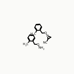 Cc1ccccc1CON.Cc1ccccc1CON1CC1C#N